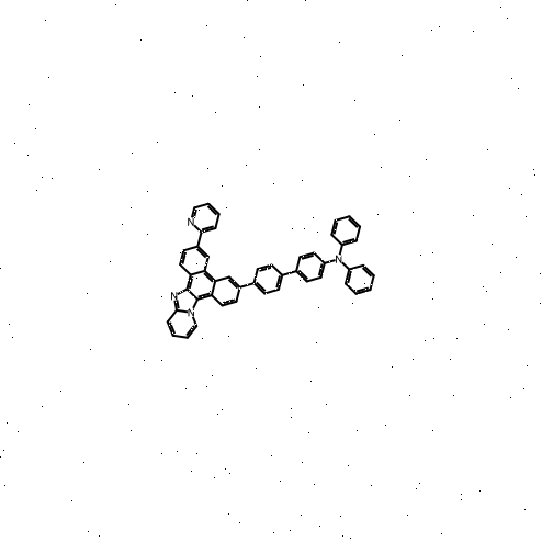 c1ccc(N(c2ccccc2)c2ccc(-c3ccc(-c4ccc5c(c4)c4cc(-c6ccccn6)ccc4c4nc6ccccn6c54)cc3)cc2)cc1